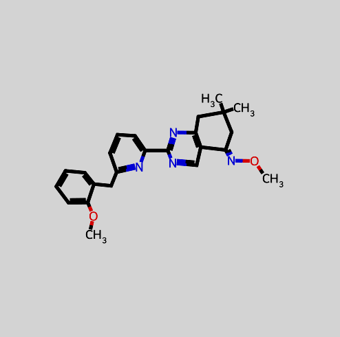 CO/N=C1\CC(C)(C)Cc2nc(-c3cccc(Cc4ccccc4OC)n3)ncc21